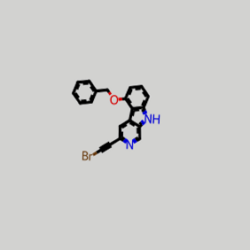 BrC#Cc1cc2c(cn1)[nH]c1cccc(OCc3ccccc3)c12